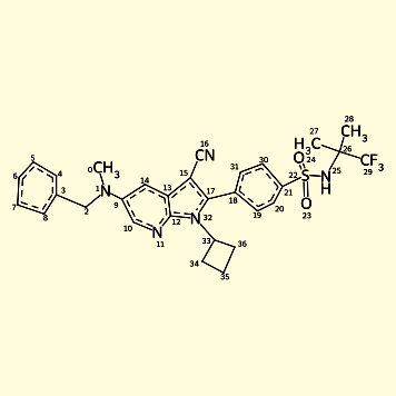 CN(Cc1ccccc1)c1cnc2c(c1)c(C#N)c(-c1ccc(S(=O)(=O)NC(C)(C)C(F)(F)F)cc1)n2C1CCC1